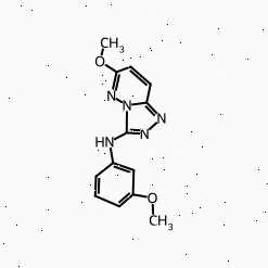 COc1cccc(Nc2nnc3ccc(OC)nn23)c1